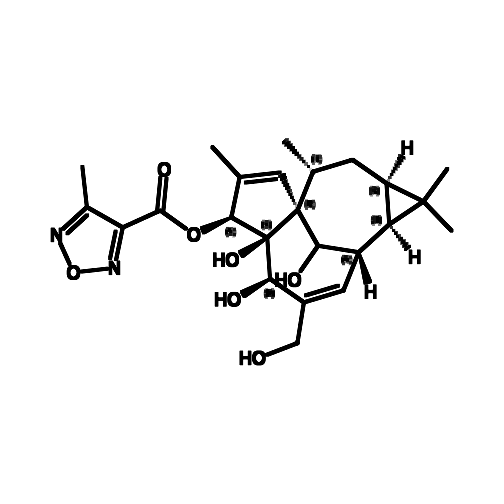 CC1=C[C@]23C(O)[C@@H](C=C(CO)[C@@H](O)[C@]2(O)[C@H]1OC(=O)c1nonc1C)[C@H]1[C@@H](C[C@H]3C)C1(C)C